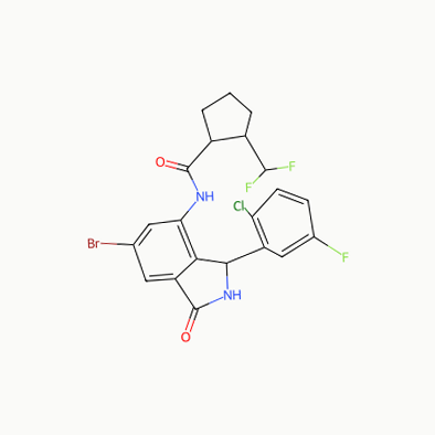 O=C1NC(c2cc(F)ccc2Cl)c2c(NC(=O)C3CCCC3C(F)F)cc(Br)cc21